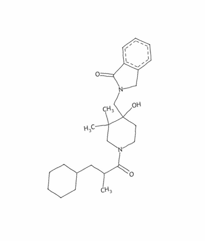 CC(CC1CCCCC1)C(=O)N1CCC(O)(CN2Cc3ccccc3C2=O)C(C)(C)C1